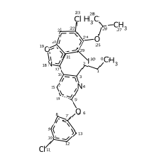 CCCc1nc(Oc2ccc(Cl)cc2)ccc1-c1noc2cc(Cl)c(OC(C)C)c(I)c12